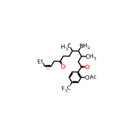 BC(C(C)CCC(=O)C/C=C\CC)C(C)CC(=O)c1ccc(C(F)(F)F)cc1OC(C)=O